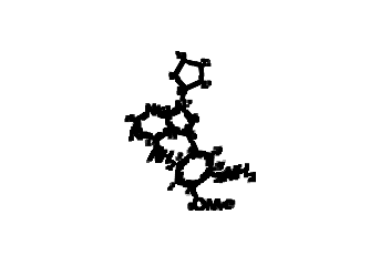 COc1ccc(-c2cn(C3CCCC3)c3ncnc(N)c23)cc1N